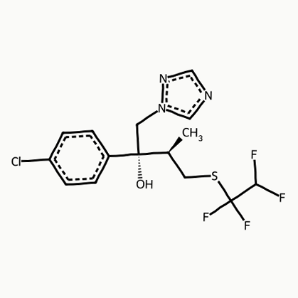 C[C@@H](CSC(F)(F)C(F)F)[C@](O)(Cn1cncn1)c1ccc(Cl)cc1